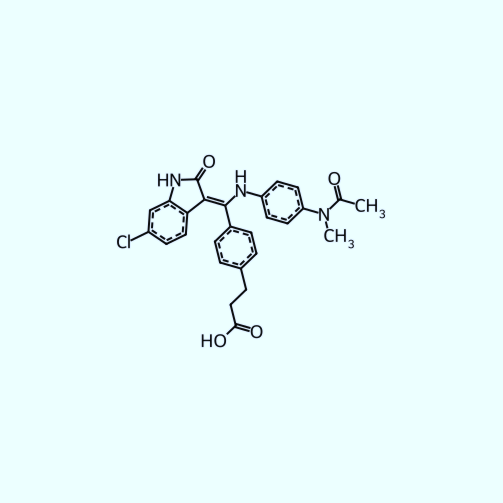 CC(=O)N(C)c1ccc(N/C(=C2\C(=O)Nc3cc(Cl)ccc32)c2ccc(CCC(=O)O)cc2)cc1